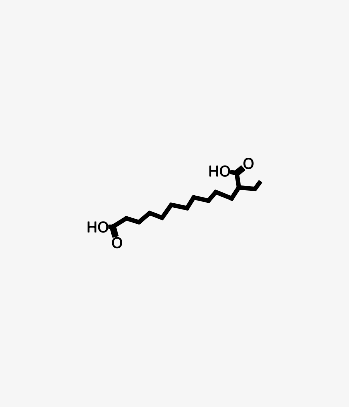 CCC(CCCCCCCCCCC(=O)O)C(=O)O